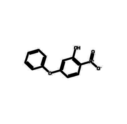 O=[N+]([O-])c1ccc(Oc2ccccc2)cc1O